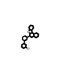 Clc1cccc(C2=CC(c3cc4ccccc4c4c3oc3ccccc34)=CCC2)c1